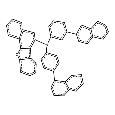 c1cc(-c2ccc3ccccc3c2)cc(N(c2ccc(-c3cccc4ccccc34)cc2)c2cc3ccccc3c3oc4cccnc4c23)c1